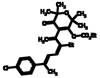 C=C(C1=C(OC(=O)OCC)C(C)(C)OC(C)(C)C1=O)/C(=C\C=C(/C)c1ccc(Cl)cc1)CC